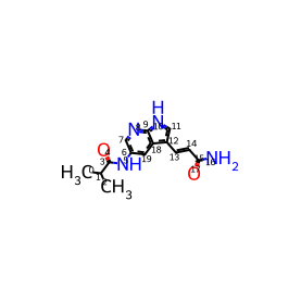 CC(C)C(=O)Nc1cnc2[nH]cc(/C=C/C(N)=O)c2c1